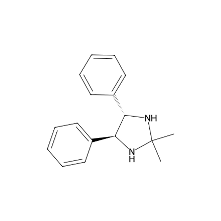 CC1(C)N[C@@H](c2ccccc2)[C@H](c2ccccc2)N1